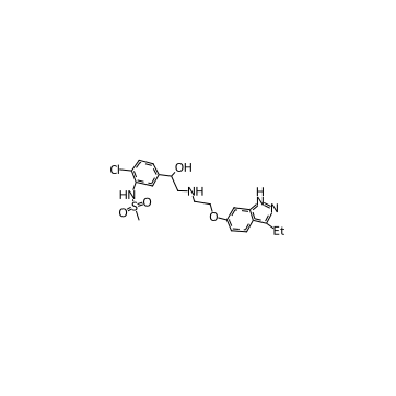 CCc1n[nH]c2cc(OCCNCC(O)c3ccc(Cl)c(NS(C)(=O)=O)c3)ccc12